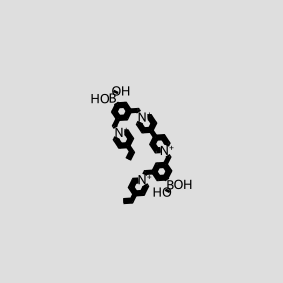 C=Cc1cc[n+](Cc2cc(C[n+]3ccc(-c4cc[n+](Cc5cc(C[n+]6ccc(C=C)cc6)cc(B(O)O)c5)cc4)cc3)cc(B(O)O)c2)cc1